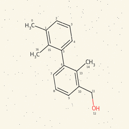 Cc1cccc(-c2cccc(CO)c2C)c1C